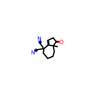 CC12CCCCC(C#N)(C#N)C1=CCC2=O